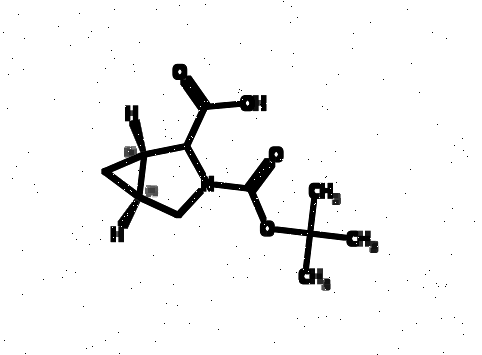 CC(C)(C)OC(=O)N1C[C@@H]2C[C@@H]2C1C(=O)O